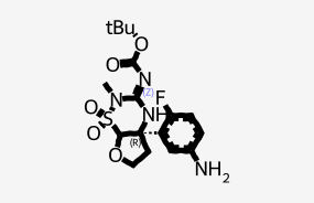 CN1/C(=N\C(=O)OC(C)(C)C)N[C@@]2(c3cc(N)ccc3F)CCOC2S1(=O)=O